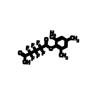 Cc1cc(C)c(OC(=O)C(F)(F)C(F)(F)C(F)(F)C(=O)O)c(C)c1